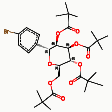 CC(C)(C)C(=O)OC[C@H]1O[C@H](c2ccc(Br)cc2)[C@@H](OC(=O)C(C)(C)C)[C@@H](OC(=O)C(C)(C)C)[C@@H]1OC(=O)C(C)(C)C